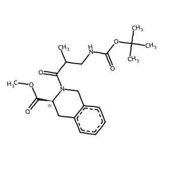 COC(=O)[C@@H]1Cc2ccccc2CN1C(=O)C(C)CNC(=O)OC(C)(C)C